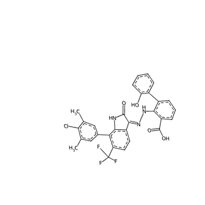 Cc1cc(-c2c(C(F)(F)F)ccc3c2NC(=O)C3=NNc2c(C(=O)O)cccc2-c2ccccc2O)cc(C)c1Cl